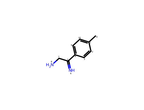 Cc1ccc(C(=N)CN)cc1